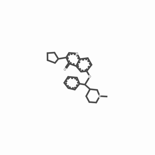 CN1CCCC(C(Oc2ccc3occ(C4CCCC4)c(=O)c3c2)c2ccccc2)C1